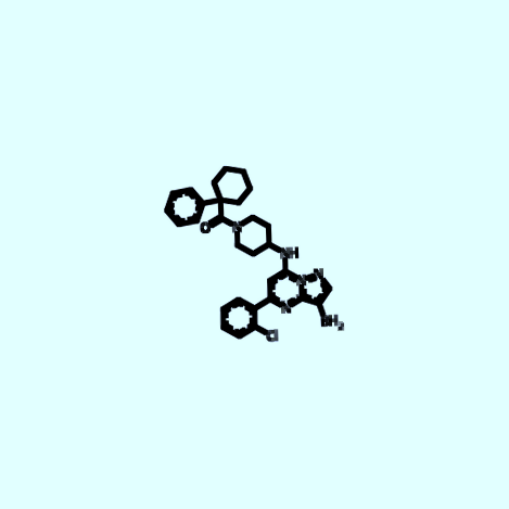 Bc1cnn2c(NC3CCN(C(=O)C4(c5ccccc5)CCCCC4)CC3)cc(-c3ccccc3Cl)nc12